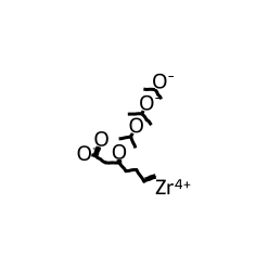 C=CCCC(=O)CC(=O)[O-].CC(C)[O-].CC(C)[O-].CC(C)[O-].[Zr+4]